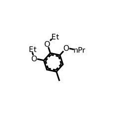 CCCOc1cc(C)cc(OCC)c1OCC